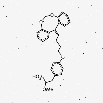 COC(Cc1ccc(OCCCC=C2c3ccccc3OCOc3ccccc32)cc1)C(=O)O